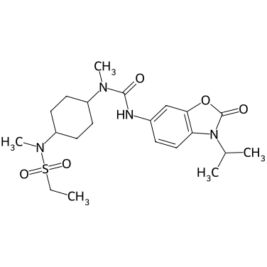 CCS(=O)(=O)N(C)C1CCC(N(C)C(=O)Nc2ccc3c(c2)oc(=O)n3C(C)C)CC1